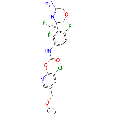 COCc1cnc(OC(=O)Nc2ccc(F)c([C@]3(C(F)F)COCC(N)=N3)c2)c(Cl)c1